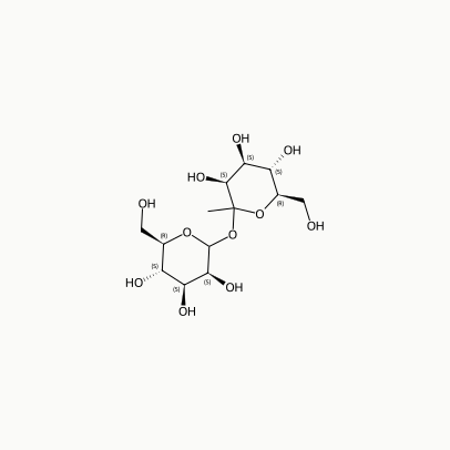 CC1(OC2O[C@H](CO)[C@@H](O)[C@H](O)[C@@H]2O)O[C@H](CO)[C@@H](O)[C@H](O)[C@@H]1O